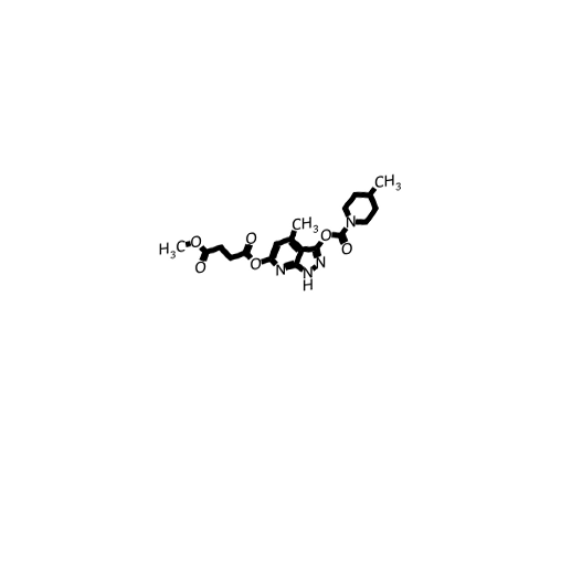 COC(=O)CCC(=O)Oc1cc(C)c2c(OC(=O)N3CCC(C)CC3)n[nH]c2n1